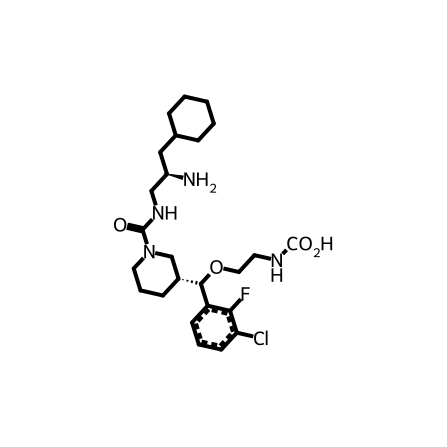 N[C@@H](CNC(=O)N1CCC[C@@H](C(OCCNC(=O)O)c2cccc(Cl)c2F)C1)CC1CCCCC1